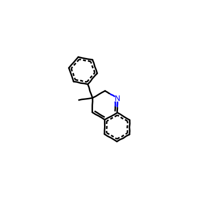 CC1(c2ccccc2)C=c2ccccc2=NC1